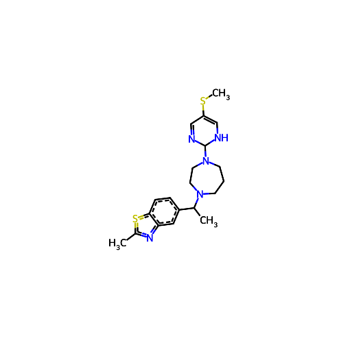 CSC1=CNC(N2CCCN(C(C)c3ccc4sc(C)nc4c3)CC2)N=C1